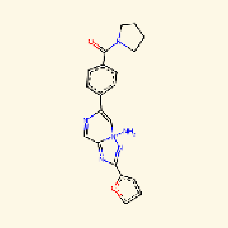 N[N+]12C=C(c3ccc(C(=O)N4CCCC4)cc3)N=CC1=NC(c1ccco1)=N2